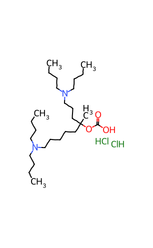 CCCCN(CCCC)CCCCCC(C)(CCCN(CCCC)CCCC)OC(=O)O.Cl.Cl